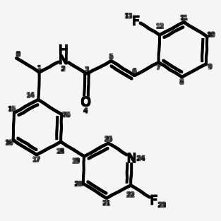 CC(NC(=O)C=Cc1ccccc1F)c1cccc(-c2ccc(F)nc2)c1